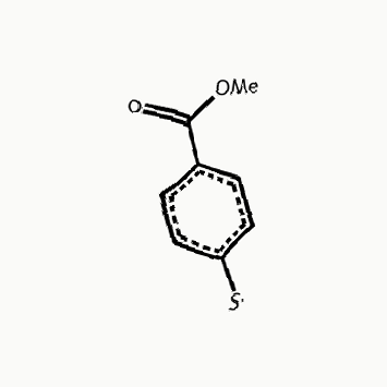 COC(=O)c1ccc([S])cc1